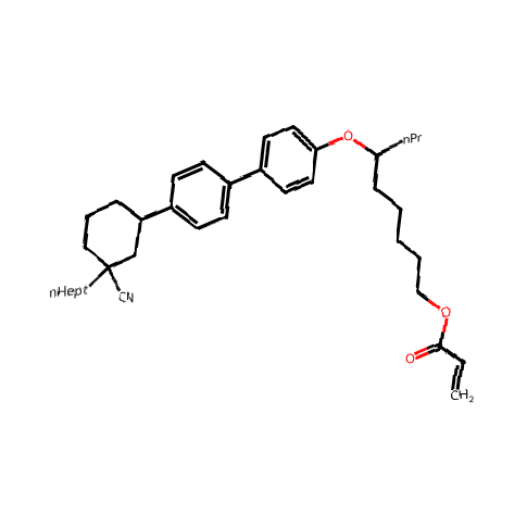 C=CC(=O)OCCCCCC(CCC)Oc1ccc(-c2ccc(C3CCCC(C#N)(CCCCCCC)C3)cc2)cc1